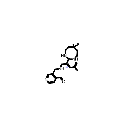 C=C(C)/C=C(/CNCc1cnccc1C=O)C1NCCC(F)(F)CCN1